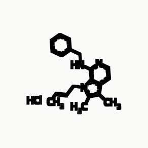 CC=CCn1c(C)c(C)c2ccnc(NCc3ccccc3)c21.Cl